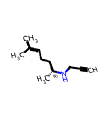 C#CCN[C@H](C)CCC=C(C)C